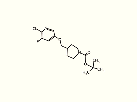 CC(C)(C)OC(=O)N1CCC(COc2cnc(Cl)c(F)c2)CC1